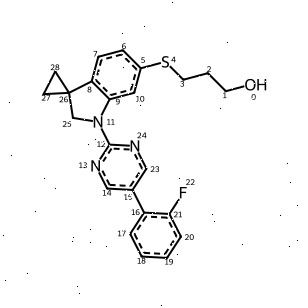 OCCCSc1ccc2c(c1)N(c1ncc(-c3ccccc3F)cn1)CC21CC1